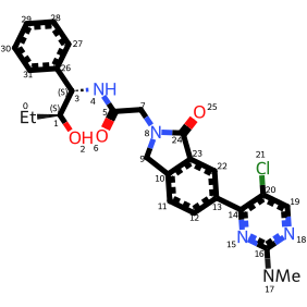 CC[C@H](O)[C@@H](NC(=O)CN1Cc2ccc(-c3nc(NC)ncc3Cl)cc2C1=O)c1ccccc1